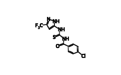 O=C(NC(=S)Nc1cc(C(F)(F)F)n[nH]1)c1ccc(Cl)cc1